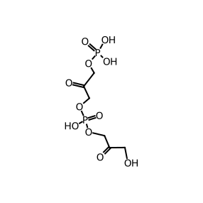 O=C(CO)COP(=O)(O)OCC(=O)COP(=O)(O)O